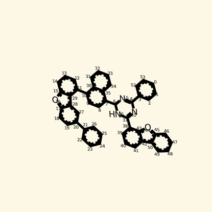 c1ccc(C2=NC(c3ccc(-c4cccc5oc6ccc(-c7ccccc7)cc6c45)c4ccccc34)NC(c3cccc4c3oc3ccccc34)=N2)cc1